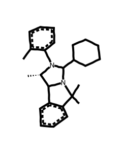 Cc1ccccc1N1C(C2CCCCC2)N2C(c3ccccc3C2(C)C)[C@@H]1C